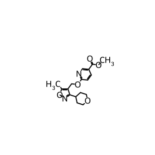 COC(=O)c1ccc(OCc2c(C3CCOCC3)noc2C)nc1